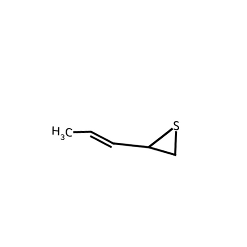 C/C=C/C1CS1